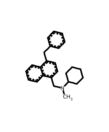 CN(Cc1ccc(Cc2ccccc2)c2ccccc12)C1CCCCC1